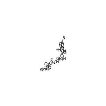 N#Cc1cnc2c(ccn2-c2cc(NC3CC3)c(-c3nnc(C4CCC(NC(=O)CN5CCN(c6cc7c(cc6F)C(=O)N(C6CCC(=O)NC6=O)C7=O)CC5)CC4)s3)cn2)c1